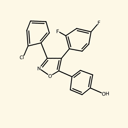 Oc1ccc(-c2onc(-c3ccccc3Cl)c2-c2ccc(F)cc2F)cc1